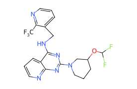 FC(F)OC1CCCN(c2nc(NCc3cccnc3C(F)(F)F)c3cccnc3n2)C1